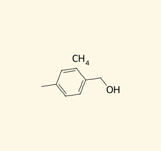 C.Cc1ccc(CO)cc1